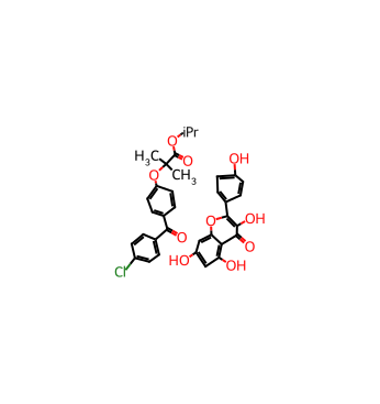 CC(C)OC(=O)C(C)(C)Oc1ccc(C(=O)c2ccc(Cl)cc2)cc1.O=c1c(O)c(-c2ccc(O)cc2)oc2cc(O)cc(O)c12